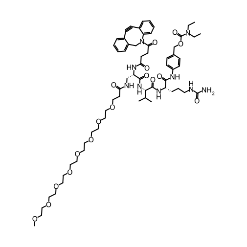 CCN(CC)C(=O)OCc1ccc(NC(=O)[C@H](CCCNC(N)=O)NC(=O)[C@@H](NC(=O)[C@H](CNC(=O)CCOCCOCCOCCOCCOCCOCCOCCOC)NC(=O)CCC(=O)N2Cc3ccccc3C#Cc3ccccc32)C(C)C)cc1